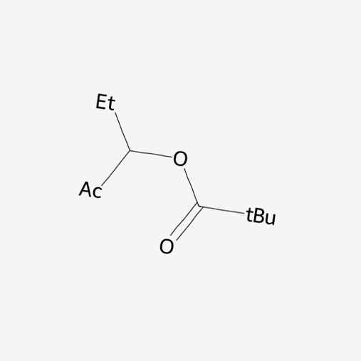 CCC(OC(=O)C(C)(C)C)C(C)=O